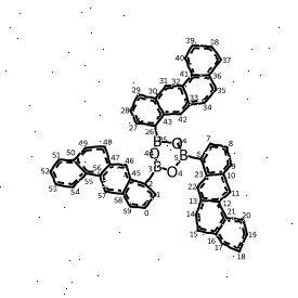 c1cc(B2OB(c3cccc4cc5c(ccc6ccccc65)cc34)OB(c3cccc4cc5c(ccc6ccccc65)cc34)O2)c2cc3ccc4ccccc4c3cc2c1